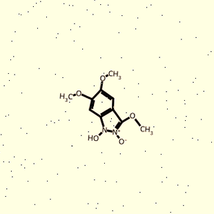 COc1cc2c(OC)[n+]([O-])n(O)c2cc1OC